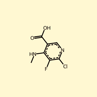 CNc1c(C(=O)O)cnc(Cl)c1F